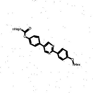 CCCCCCCC(=O)Oc1ccc(-c2cnc(-c3ccc(OCCCCCC)cc3)nc2)cc1